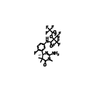 CN1C(=O)C(C)(C)[C@@](C)(c2cc(NC(=O)C(OC(=O)C(F)(F)F)(C(F)(F)F)C(F)(F)F)ccc2F)N=C1N